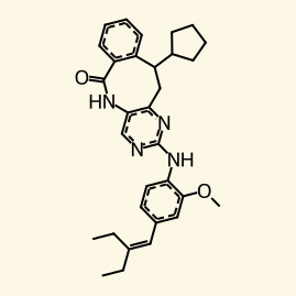 CCC(=Cc1ccc(Nc2ncc3c(n2)CC(C2CCCC2)c2ccccc2C(=O)N3)c(OC)c1)CC